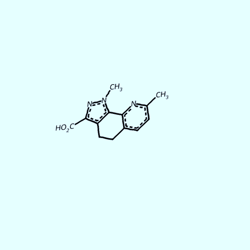 Cc1ccc2c(n1)-c1c(c(C(=O)O)nn1C)CC2